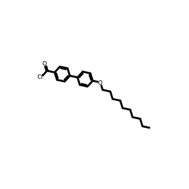 CCCCCCCCCCOc1ccc(-c2ccc(C(=O)Cl)cc2)cc1